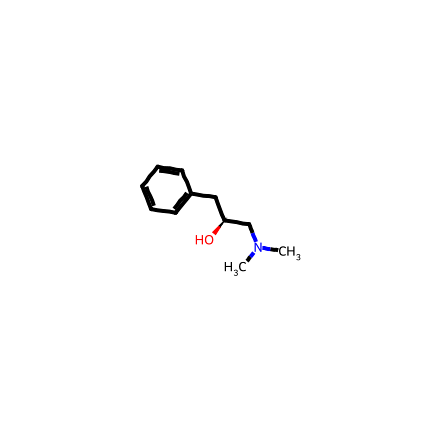 CN(C)C[C@@H](O)Cc1ccccc1